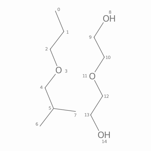 CCCOCC(C)C.OCCOCCO